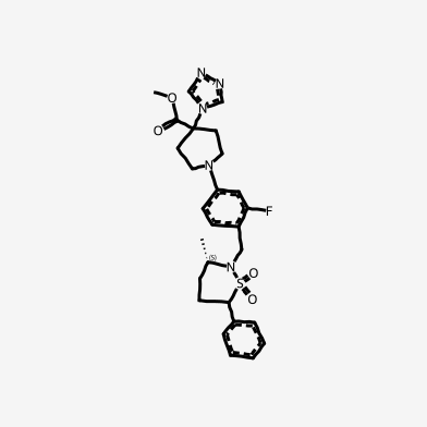 COC(=O)C1(n2cnnc2)CCN(c2ccc(CN3[C@@H](C)CCC(c4ccccc4)S3(=O)=O)c(F)c2)CC1